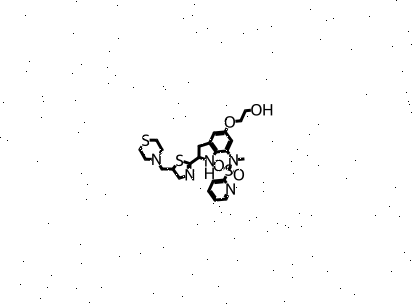 CN(c1cc(OCCO)cc2c1NC(C1=NCC(CN3CCSCC3)S1)C2)S(=O)(=O)c1ccccn1